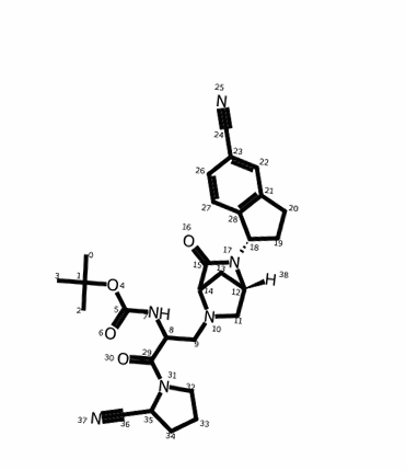 CC(C)(C)OC(=O)NC(CN1C[C@@H]2CC1C(=O)N2[C@H]1CCc2cc(C#N)ccc21)C(=O)N1CCCC1C#N